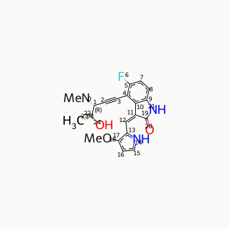 CN[C@H](C#Cc1c(F)ccc2c1C(=Cc1[nH]ccc1OC)C(=O)N2)[C@@H](C)O